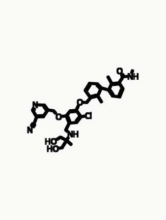 CNC(=O)c1cccc(-c2cccc(COc3cc(OCc4cncc(C#N)c4)c(CNC(C)(CO)CO)cc3Cl)c2C)c1C